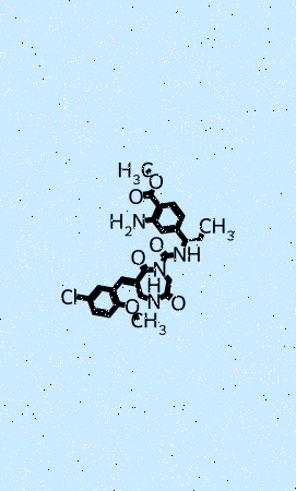 CC[C@@H](NC(=O)N1CC(=O)NC/C(=C\c2cc(Cl)ccc2OC)C1=O)c1ccc(C(=O)OC)c(N)c1